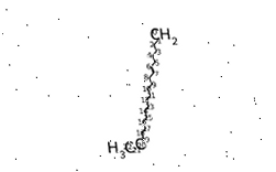 C=CCCCCC=CCCCCCCCCCCCC=C=CC